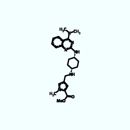 COC(=O)c1cc(CN[C@H]2CC[C@@H](Nc3nc(N(C)C)c4ccccc4n3)CC2)cn1C